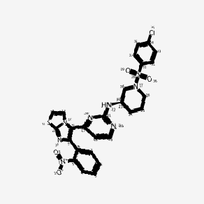 O=[N+]([O-])c1ccccc1-c1nc2sccn2c1-c1ccnc(N[C@@H]2CCCN(S(=O)(=O)c3ccc(Cl)cc3)C2)n1